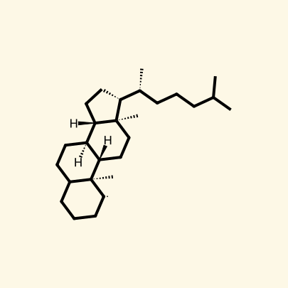 CC(C)CCC[C@@H](C)[C@H]1CC[C@H]2[C@@H]3CCC4CCC[CH][C@]4(C)[C@H]3CC[C@]12C